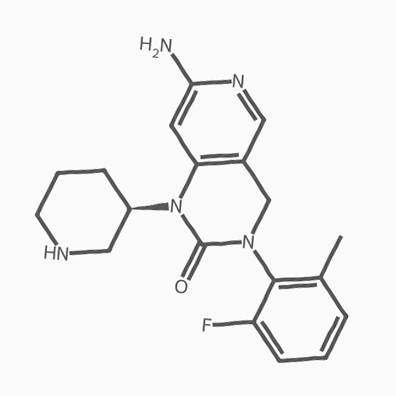 Cc1cccc(F)c1N1Cc2cnc(N)cc2N([C@@H]2CCCNC2)C1=O